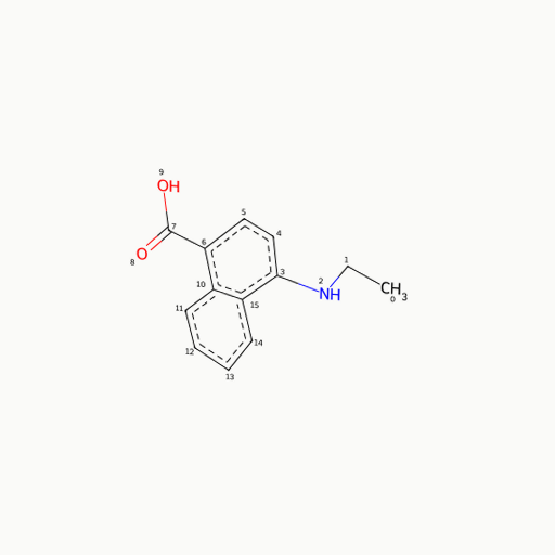 CCNc1ccc(C(=O)O)c2ccccc12